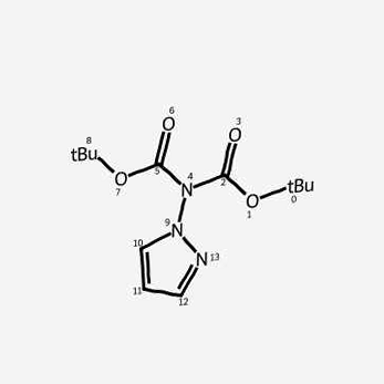 CC(C)(C)OC(=O)N(C(=O)OC(C)(C)C)n1cccn1